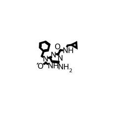 COC1Nc2c(N)nc(C(=O)NCC3CC3)nc2N1Cc1ccccc1